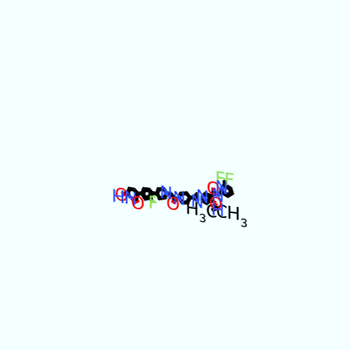 CC(C)Oc1cc2nc(C3CCN(C(=O)CN4CCC(c5ccc(C6CCC(=O)NC6=O)cc5F)CC4)CC3)cn2cc1C(=O)Nc1cccc(C(F)F)n1